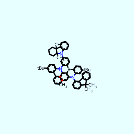 Cc1cc2c3c(c1)N(c1cccc4c1-c1ccccc1C4(C)C)c1cc(C(C)(C)C)ccc1B3c1ccc(N3c4ccccc4C4(C)CCCCC34C)cc1N2c1ccc(C(C)(C)C)cc1-c1ccccc1